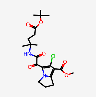 COC(=O)c1c(Cl)c(C(=O)C(=O)NC(C)(C)CCC(=O)OC(C)(C)C)n2c1CCC2